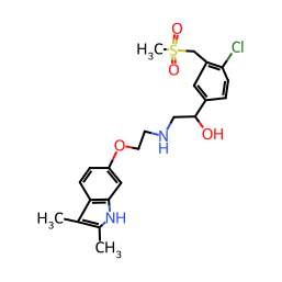 Cc1[nH]c2cc(OCCNCC(O)c3ccc(Cl)c(CS(C)(=O)=O)c3)ccc2c1C